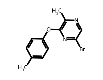 Cc1ccc(Oc2nc(Br)cnc2C)cc1